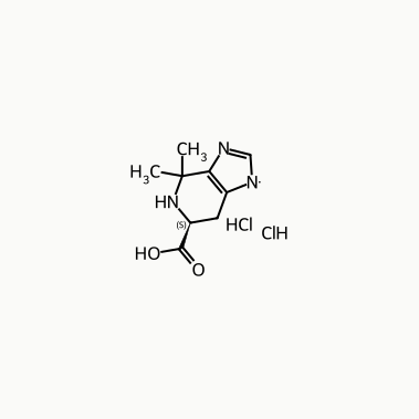 CC1(C)N[C@H](C(=O)O)CC2=C1N=C[N]2.Cl.Cl